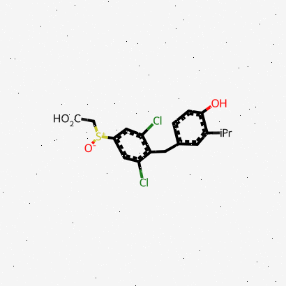 CC(C)c1cc(Cc2c(Cl)cc([S+]([O-])CC(=O)O)cc2Cl)ccc1O